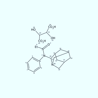 CCC(=O)N(c1ccccc1)C1C2CC3CC(C2)CN1C3.O=C(O)C(O)C(O)C(=O)O